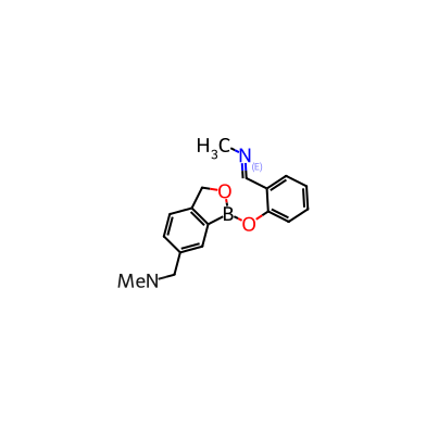 C/N=C/c1ccccc1OB1OCc2ccc(CNC)cc21